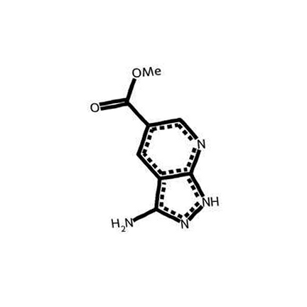 COC(=O)c1cnc2[nH]nc(N)c2c1